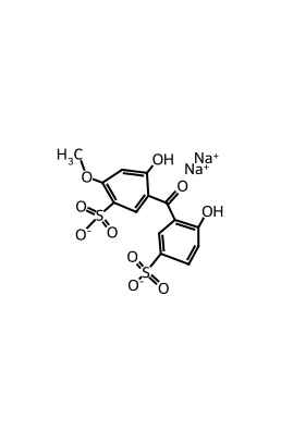 COc1cc(O)c(C(=O)c2cc(S(=O)(=O)[O-])ccc2O)cc1S(=O)(=O)[O-].[Na+].[Na+]